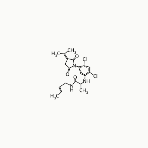 C/C=C/CNC(=O)C(C)Nc1cc(N2C(=O)CC(=C(C)C)C2=O)c(Cl)cc1Cl